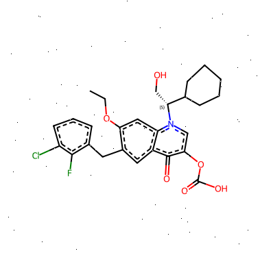 CCOc1cc2c(cc1Cc1cccc(Cl)c1F)c(=O)c(OC(=O)O)cn2[C@H](CO)C1CCCCC1